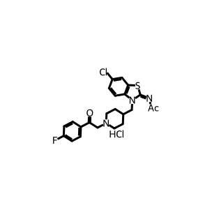 CC(=O)N=c1sc2cc(Cl)ccc2n1CC1CCN(CC(=O)c2ccc(F)cc2)CC1.Cl